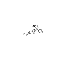 O=C(CC1CC1)N1CCC(O)(Cc2nn(-c3ccc(F)cc3)c3nc[nH]c(=O)c23)CC1